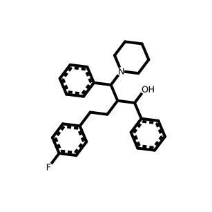 OC(c1ccccc1)C(CCc1ccc(F)cc1)C(c1ccccc1)N1CCCCC1